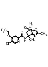 Cc1nc(C(C)(CS(C)(=O)=O)NC(=O)c2cc(OCC(F)(F)F)c(Cl)cn2)no1